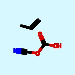 C=CC.N#COC(=O)O